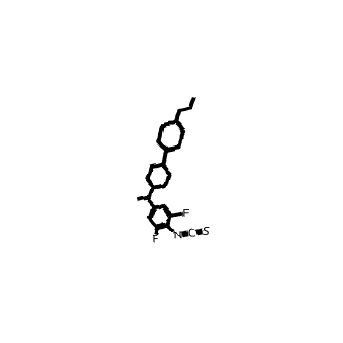 CCCC1CCC(C2CCC(C(C)c3cc(F)c(N=C=S)c(F)c3)CC2)CC1